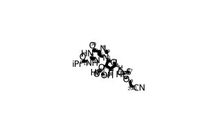 CC(C)C(=O)Nc1nc2c(ncn2[C@@H]2O[C@H](CO[PH](=S)OCCC#N)[C@@H](F)[C@H]2O[PH](=O)O)c(=O)[nH]1